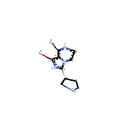 Clc1nccn2c([C@@H]3CCNC3)nc(Br)c12